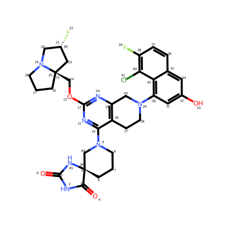 O=C1NC(=O)[C@]2(CCCN(c3nc(OC[C@@]45CCCN4C[C@H](F)C5)nc4c3CCN(c3cc(O)cc5ccc(F)c(Cl)c35)C4)C2)N1